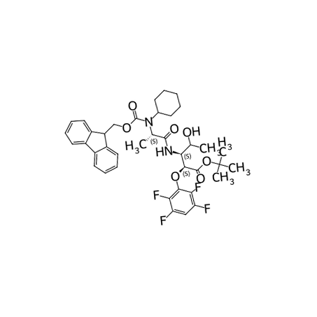 CC(O)[C@H](NC(=O)[C@H](C)N(C(=O)OCC1c2ccccc2-c2ccccc21)C1CCCCC1)[C@H](Oc1c(F)c(F)cc(F)c1F)C(=O)OC(C)(C)C